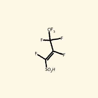 O=S(=O)(O)C(F)=C(F)C(F)(F)C(F)(F)F